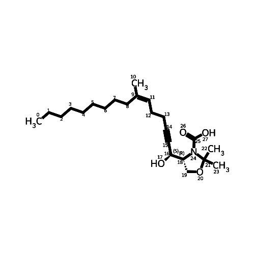 CCCCCCCCCC(C)=CCCC#C[C@H](O)[C@H]1COC(C)(C)N1C(=O)O